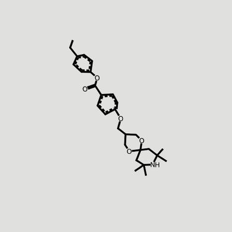 CCc1ccc(OC(=O)c2ccc(OCC3COC4(CC(C)(C)NC(C)(C)C4)OC3)cc2)cc1